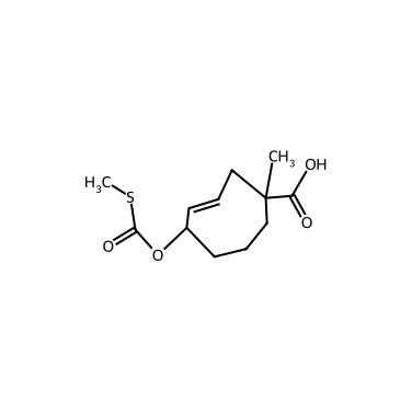 CSC(=O)OC1/C=C/CC(C)(C(=O)O)CCC1